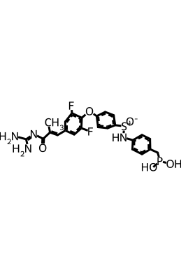 C/C(=C\c1cc(F)c(Oc2ccc([S+]([O-])Nc3ccc(CP(O)O)cc3)cc2)c(F)c1)C(=O)N=C(N)N